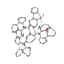 CC1(C)c2ccccc2-c2cc3c(N(c4ccccn4)c4ccccc4-c4ccccc4)c4cc(N(c5ccccn5)c5ccccc5-c5ccccc5)ccc4c(N(c4ccccn4)c4ccccc4-c4ccccc4)c3cc21